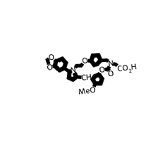 COc1ccc(OC(=O)N(CC(=O)O)Cc2ccc(OCCn3c(C)ccc3-c3ccc4c(c3)OCO4)cc2)cc1